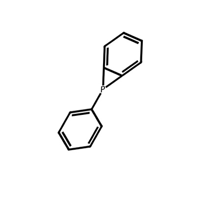 c1ccc(P2c3ccccc32)cc1